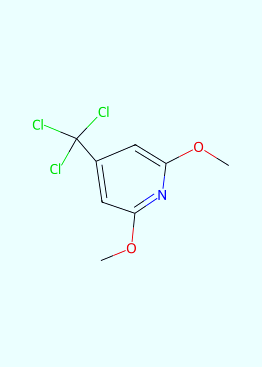 COc1cc(C(Cl)(Cl)Cl)cc(OC)n1